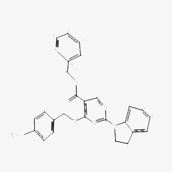 COc1ccc(CNc2nc(N3CCc4ccccc43)ncc2C(=O)NCc2ccccn2)cc1